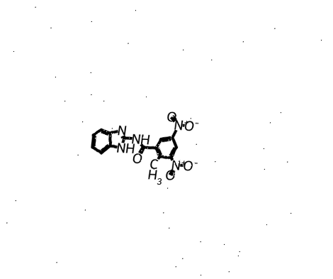 Cc1c(C(=O)Nc2nc3ccccc3[nH]2)cc([N+](=O)[O-])cc1[N+](=O)[O-]